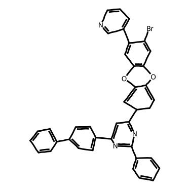 Brc1cc2c(cc1-c1cccnc1)OC1=CC(c3cc(-c4ccc(-c5ccccc5)cc4)nc(-c4ccccc4)n3)CC=C1O2